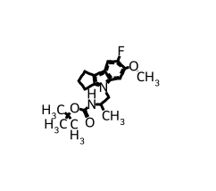 COc1cc2c(cc1F)c1c(n2CC(C)NC(=O)OC(C)(C)C)CCC1